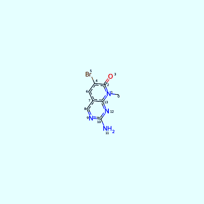 Cn1c(=O)c(Br)cc2cnc(N)nc21